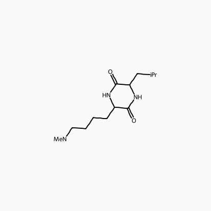 CNCCCCC1NC(=O)C(CC(C)C)NC1=O